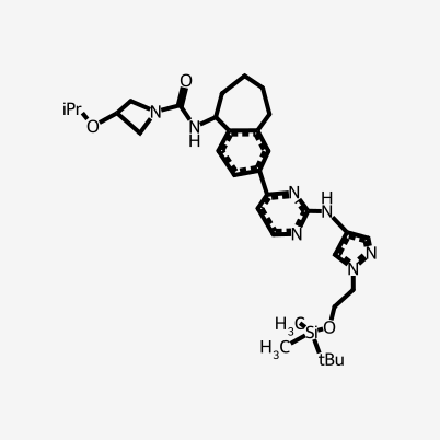 CC(C)OC1CN(C(=O)NC2CCCCc3cc(-c4ccnc(Nc5cnn(CCO[Si](C)(C)C(C)(C)C)c5)n4)ccc32)C1